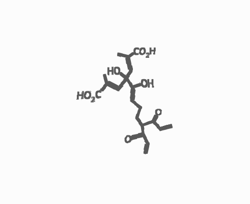 C=CC(=O)C(CCC=C(O)C(O)(C=C(C)C(=O)O)C=C(C)C(=O)O)C(=O)C=C